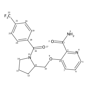 NC(=O)c1ncccc1OCC1CCCN1C(=O)c1ccc(C(F)(F)F)cc1